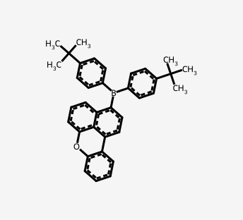 CC(C)(C)c1ccc(B(c2ccc(C(C)(C)C)cc2)c2ccc3c4c(cccc24)Oc2ccccc2-3)cc1